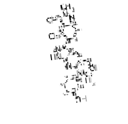 CN(c1nc2[nH]nc(-c3ccc4nn(C)c(Cl)c4c3Cl)c2nc1CO)[C@@H]1CCC[C@@H](O)C1